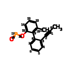 CC#Cc1ccccc1-c1c(C)cccc1OP=O